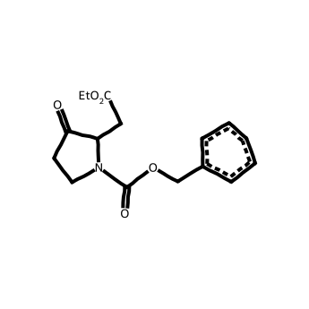 CCOC(=O)CC1C(=O)CCN1C(=O)OCc1ccccc1